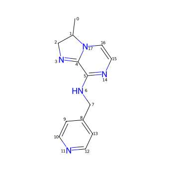 CC1CN=C2C(NCc3ccncc3)=NC=CN21